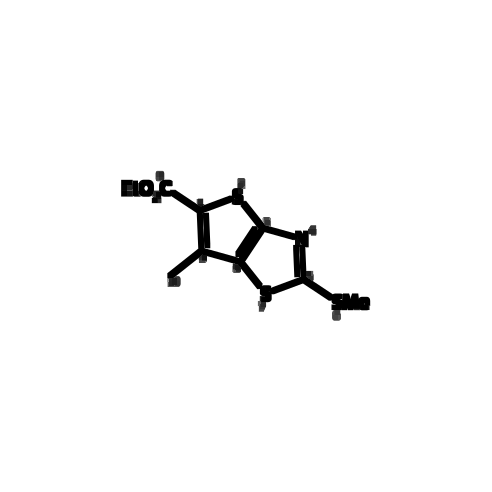 CCOC(=O)c1sc2nc(SC)sc2c1C